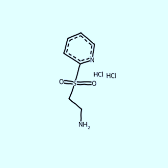 Cl.Cl.NCCS(=O)(=O)c1ccccn1